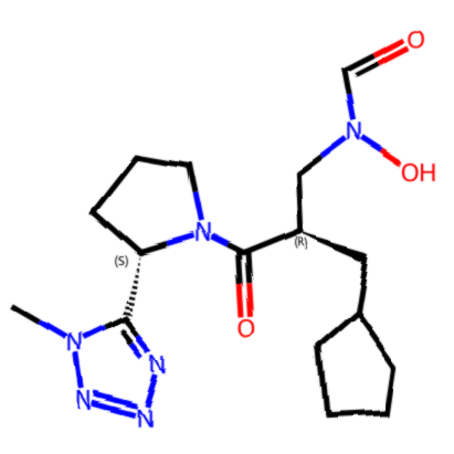 Cn1nnnc1[C@@H]1CCCN1C(=O)[C@H](CC1CCCC1)CN(O)C=O